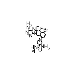 Nc1ncnc2c1ncn2Cc1c(N2CC[C@](N)(C(=O)NC3CC3)C2)ccc(Br)c1C(F)(F)F